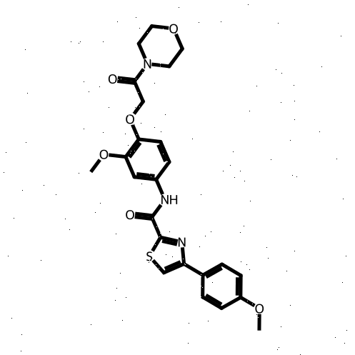 COc1ccc(-c2csc(C(=O)Nc3ccc(OCC(=O)N4CCOCC4)c(OC)c3)n2)cc1